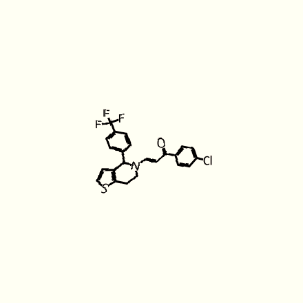 O=C(C=CN1CCc2sccc2C1c1ccc(C(F)(F)F)cc1)c1ccc(Cl)cc1